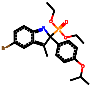 CCOP(=O)(OCC)C1(c2ccc(OC(C)C)cc2)N=c2ccc(Br)cc2=C1C